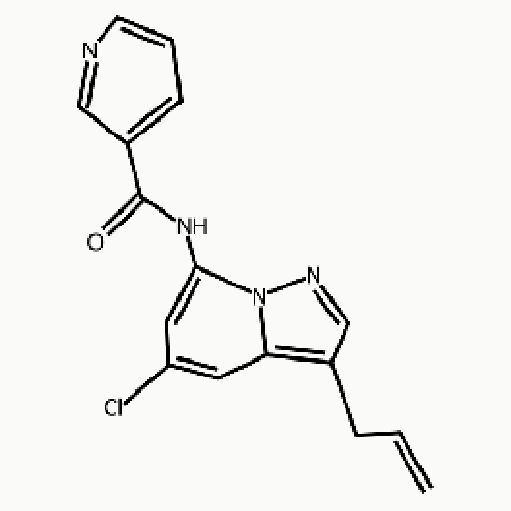 C=CCc1cnn2c(NC(=O)c3cccnc3)cc(Cl)cc12